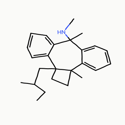 CCC(C)CC12CCC1(C)c1ccccc1C(C)(NC)c1ccccc12